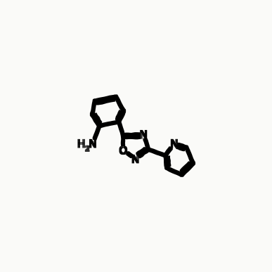 Nc1ccccc1-c1nc(-c2ccccn2)no1